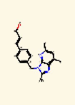 CCCc1nc2c(C)cc(C)nc2n1Cc1ccc(C=CCO)cc1